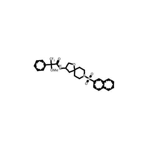 COC(C(=O)NC1COC2(CCN(S(=O)(=O)c3ccc4ccccc4c3)CC2)C1)(c1ccccc1)C(F)(F)F